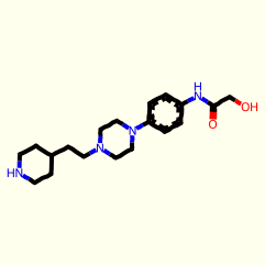 O=C(CO)Nc1ccc(N2CCN(CCC3CCNCC3)CC2)cc1